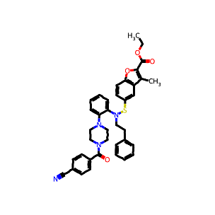 CCOC(=O)c1oc2ccc(SN(CCc3ccccc3)c3ccccc3N3CCN(C(=O)c4ccc(C#N)cc4)CC3)cc2c1C